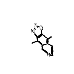 Cc1c2cnccc2c(C)c2onnc12